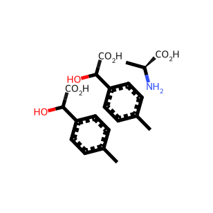 C[C@H](N)C(=O)O.Cc1ccc(C(O)C(=O)O)cc1.Cc1ccc(C(O)C(=O)O)cc1